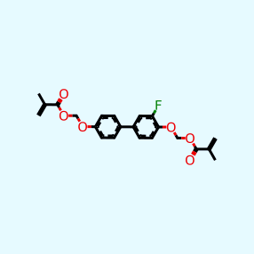 C=C(C)C(=O)OCOc1ccc(-c2ccc(OCOC(=O)C(=C)C)c(F)c2)cc1